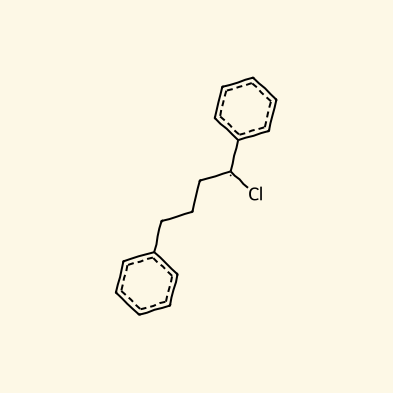 Cl[C](CCCc1ccccc1)c1ccccc1